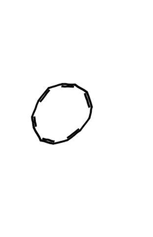 C1=CC=CC=CCC=CC=CC=C1